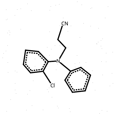 N#CCCN(c1ccccc1)c1ccccc1Cl